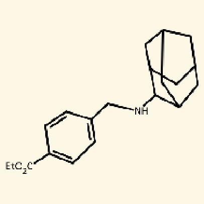 CCOC(=O)c1ccc(CNC2C3CC4CC(C3)CC2C4)cc1